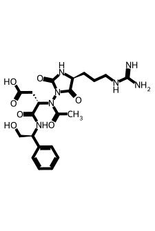 CC(=O)N([C@@H](CC(=O)O)C(=O)N[C@H](CO)c1ccccc1)N1C(=O)N[C@@H](CCCNC(=N)N)C1=O